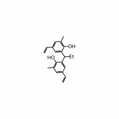 C=Cc1cc(C)c(O)c(C(CC)c2cc(C=C)cc(C)c2O)c1